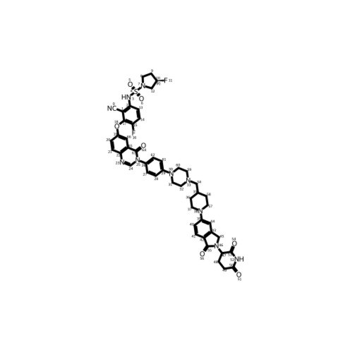 N#Cc1c(NS(=O)(=O)N2CC[C@@H](F)C2)ccc(F)c1Oc1ccc2ncn(-c3ccc(N4CCN(CC5CCN(c6ccc7c(c6)CN(C6CCC(=O)NC6=O)C7=O)CC5)CC4)cc3)c(=O)c2c1